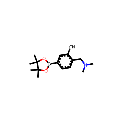 CN(C)Cc1ccc(B2OC(C)(C)C(C)(C)O2)cc1C#N